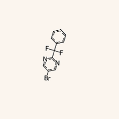 FC(F)(c1ccccc1)c1ncc(Br)cn1